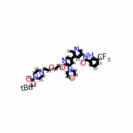 Cc1ncc(NC(=O)c2cccc(C(F)(F)F)c2)cc1-c1cnc(OCCOCCN2CCN(C(=O)OC(C)(C)C)CC2)c(N2CCOCC2)c1